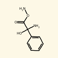 NOC(=O)C(N)(O)c1ccccc1